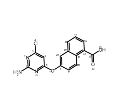 Nc1nc(Cl)cc(Oc2ccc3c(C(=O)O)cccc3c2)n1